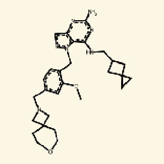 COc1cc(CN2CC3(CCOCC3)C2)ccc1Cn1ncc2nc(N)nc(NCC3CC4(CC4)C3)c21